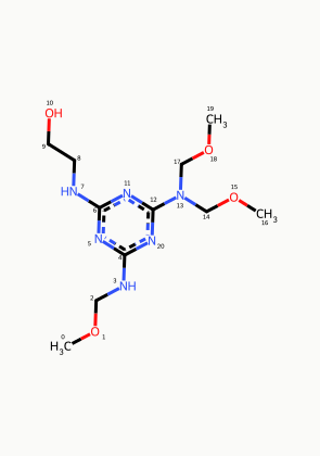 COCNc1nc(NCCO)nc(N(COC)COC)n1